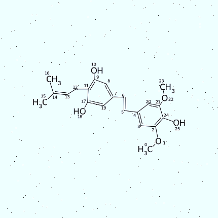 COc1cc(C=Cc2cc(O)c(CC=C(C)C)c(O)c2)cc(OC)c1O